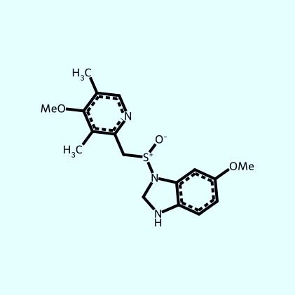 COc1ccc2c(c1)N([S+]([O-])Cc1ncc(C)c(OC)c1C)CN2